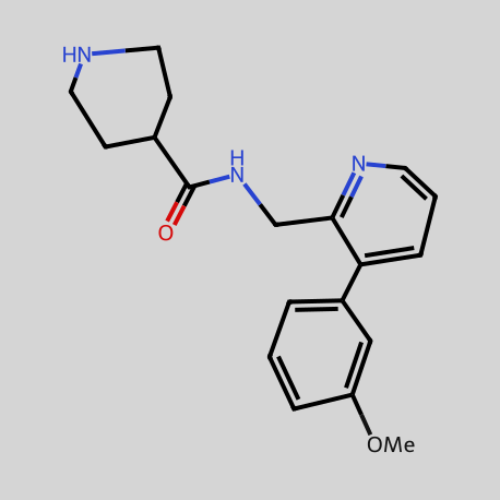 COc1cccc(-c2cccnc2CNC(=O)C2CCNCC2)c1